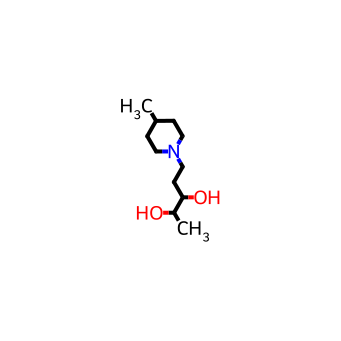 CC1CCN(CCC(O)C(C)O)CC1